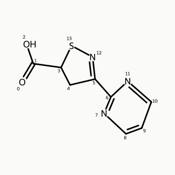 O=C(O)C1CC(c2ncccn2)=NS1